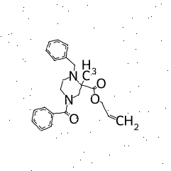 C=CCOC(=O)C1(C)CN(C(=O)c2ccccc2)CCN1Cc1ccccc1